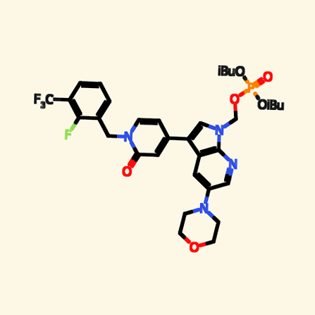 CC(C)COP(=O)(OCC(C)C)OCn1cc(-c2ccn(Cc3cccc(C(F)(F)F)c3F)c(=O)c2)c2cc(N3CCOCC3)cnc21